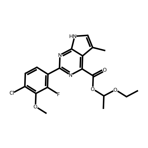 CCOC(C)OC(=O)c1nc(-c2ccc(Cl)c(OC)c2F)nc2[nH]cc(C)c12